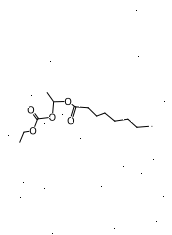 [CH2]CCCCCCC(=O)OC(C)OC(=O)OCC